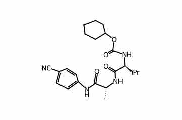 CC(C)[C@H](NC(=O)OC1CCCCC1)C(=O)N[C@H](C)C(=O)Nc1ccc(C#N)cc1